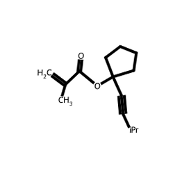 C=C(C)C(=O)OC1(C#CC(C)C)CCCC1